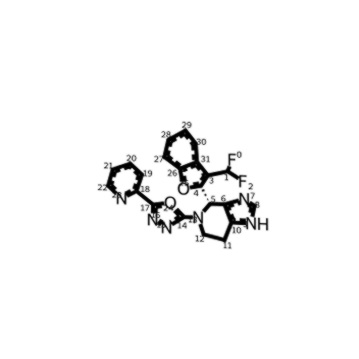 FC(F)c1c([C@@H]2c3nc[nH]c3CCN2c2nnc(-c3ccccn3)o2)oc2ccccc12